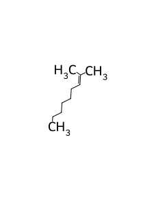 CCCCCCC=C(C)C